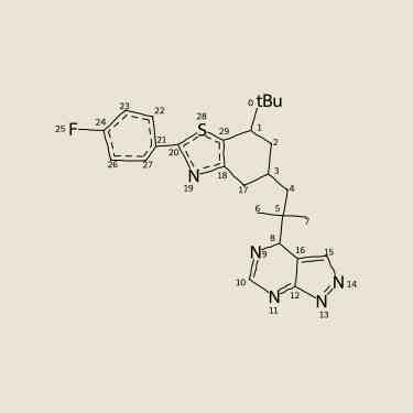 CC(C)(C)C1CC(CC(C)(C)C2N=CN=C3N=NC=C32)Cc2nc(-c3ccc(F)cc3)sc21